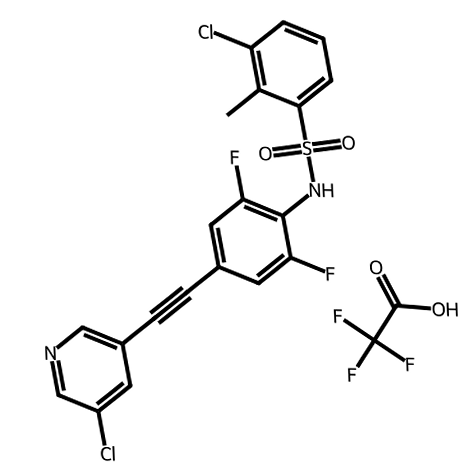 Cc1c(Cl)cccc1S(=O)(=O)Nc1c(F)cc(C#Cc2cncc(Cl)c2)cc1F.O=C(O)C(F)(F)F